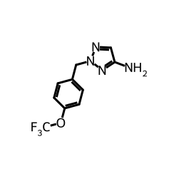 Nc1cnn(Cc2ccc(OC(F)(F)F)cc2)n1